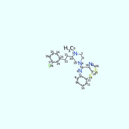 CN1CCN(C2=Nc3ccccc3Sc3scnc32)CC1CCc1cccc(F)c1